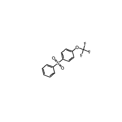 O=S(=O)(c1ccccc1)c1ccc(OC(F)(F)F)cc1